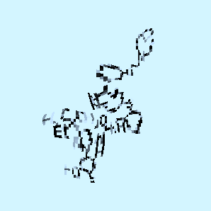 CCC(C)(C)c1cc(NC(=O)NCc2ccccc2Sc2ccc3nnc(-c4cccc(OCCN5CCOCC5)c4)n3c2)n(-c2ccc(F)c(O)c2)n1